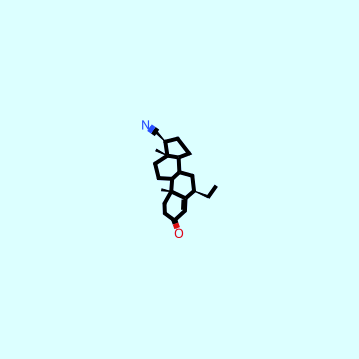 CC[C@@H]1CC2C(CC[C@@]3(C)C2CC[C@@H]3C#N)[C@@]2(C)CCC(=O)C=C12